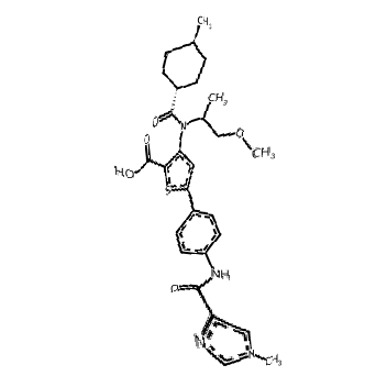 COCC(C)N(c1cc(-c2ccc(NC(=O)c3cn(C)cn3)cc2)sc1C(=O)O)C(=O)[C@H]1CC[C@H](C)CC1